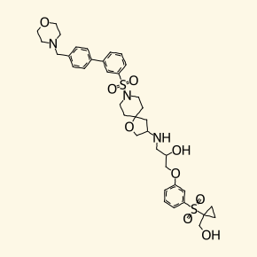 O=S(=O)(c1cccc(-c2ccc(CN3CCOCC3)cc2)c1)N1CCC2(CC1)CC(NCC(O)COc1cccc(S(=O)(=O)C3(CO)CC3)c1)CO2